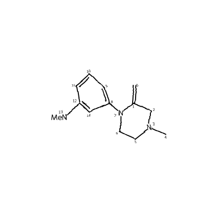 C=C1CN(C)CCN1c1cccc(NC)c1